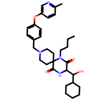 CCCCN1C(=O)C(C(O)C2CCCCC2)NC(=O)C12CCN(Cc1ccc(Oc3ccc(C)nc3)cc1)CC2